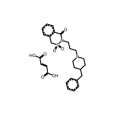 O=C(O)C=CC(=O)O.O=C1c2ccccc2CS(=O)(=O)N1CCCN1CCC(Cc2ccccc2)CC1